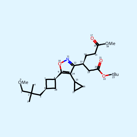 COCC(C)(C)C[C@H]1C[C@@H](c2onc([C@@H](CCC(=O)OC)CC(=O)OC(C)(C)C)c2C2CC2)C1